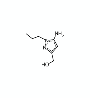 CCCn1nc(CO)cc1N